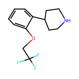 FC(F)(F)COc1ccccc1C1CCNCC1